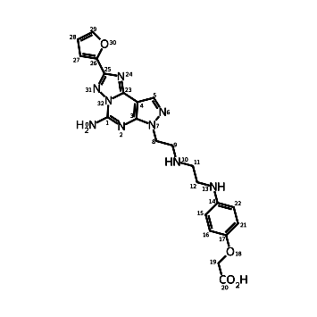 Nc1nc2c(cnn2CCNCCNc2ccc(OCC(=O)O)cc2)c2nc(-c3ccco3)nn12